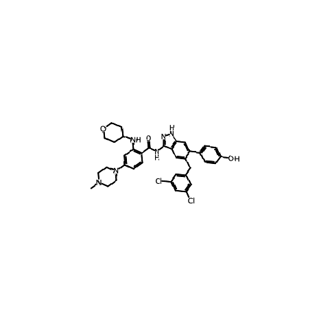 CN1CCN(c2ccc(C(=O)Nc3n[nH]c4cc(-c5ccc(O)cc5)c(Cc5cc(Cl)cc(Cl)c5)cc34)c(NC3CCOCC3)c2)CC1